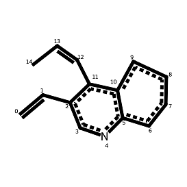 C=Cc1cnc2ccccc2c1/C=C\C